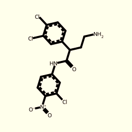 NCCC(C(=O)Nc1ccc([N+](=O)[O-])c(Cl)c1)c1ccc(Cl)c(Cl)c1